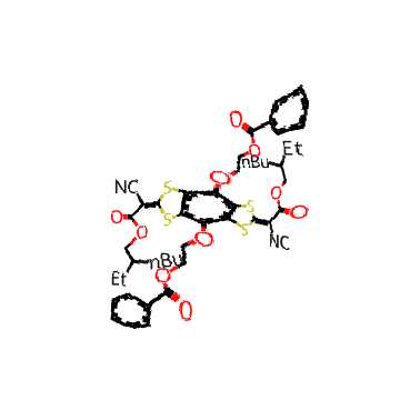 [C-]#[N+]C(C(=O)OCC(CC)CCCC)=C1Sc2c(OCCOC(=O)c3ccccc3)c3c(c(OCCOC(=O)c4ccccc4)c2S1)SC(=C(C#N)C(=O)OCC(CC)CCCC)S3